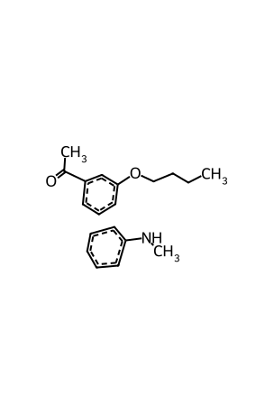 CCCCOc1cccc(C(C)=O)c1.CNc1ccccc1